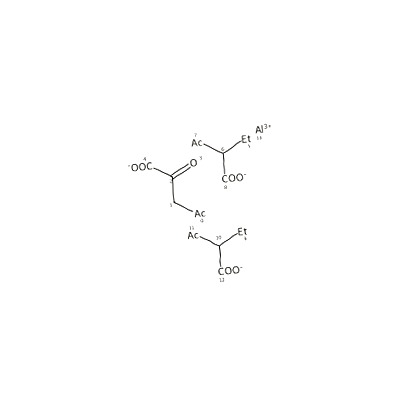 CC(=O)CC(=O)C(=O)[O-].CCC(C(C)=O)C(=O)[O-].CCC(C(C)=O)C(=O)[O-].[Al+3]